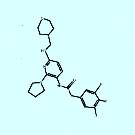 O=C(Cc1cc(F)c(F)c(F)c1)Nc1ccc(NCC2CCOCC2)nc1N1CCCC1